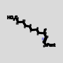 CCCCC/C=C/C(C)CCCCCCCC(=O)O